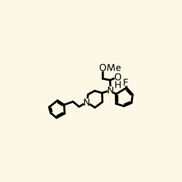 COCC(O)N(c1ccccc1F)C1CCN(CCc2ccccc2)CC1